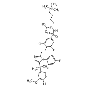 COc1cc(C(C)(C)c2cnc(CCc3c(F)cc(S(=O)(=O)N[C@@H](CCCC[N+](C)(C)C)C(=O)O)cc3Cl)n2-c2ccc(F)cc2)ccc1Cl